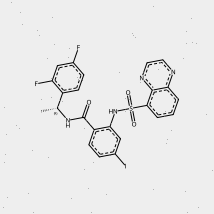 C[C@@H](NC(=O)c1ccc(I)cc1NS(=O)(=O)c1cccc2nccnc12)c1ccc(F)cc1F